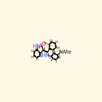 CNc1cccc(NC(=C2C(=O)Nc3ccccc32)c2ccccc2)c1